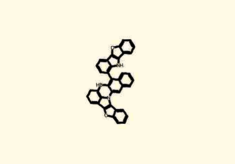 B1C2=c3c(c4oc5ccccc5c4n3-c3cc4ccccc4c(-c4cccc5c4[nH]c4c6ccccc6oc54)c31)=CCC2